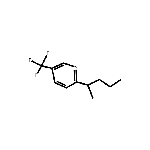 CCCC(C)c1ccc(C(F)(F)F)cn1